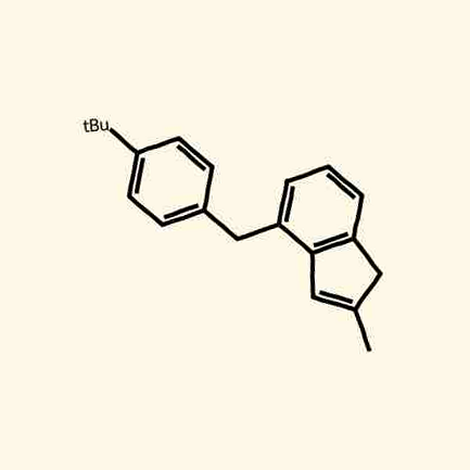 CC1=Cc2c(cccc2Cc2ccc(C(C)(C)C)cc2)C1